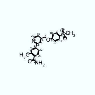 Cc1cc(-c2cc(COc3ccc(S(C)(=O)=O)cc3)ccn2)ccc1C(N)=O